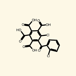 O=C(O)c1c(Cl)c(C(=O)c2ccccc2Cl)c(C(=O)O)c(C(=O)O)c1C(=O)O